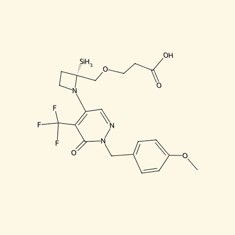 COc1ccc(Cn2ncc(N3CC[C@@]3([SiH3])COCCC(=O)O)c(C(F)(F)F)c2=O)cc1